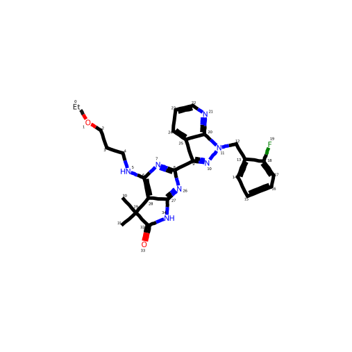 CCOCCCNc1nc(-c2nn(Cc3ccccc3F)c3ncccc23)nc2c1C(C)(C)C(=O)N2